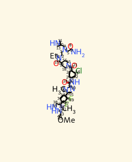 CCN(CCN(CC(N)=O)CC1CNC1)C(=O)C1CCN(C(=O)c2ccc(NC(=O)c3ncc(-c4ccc(/C(C=N)=C(\C)NCCOC)c(F)c4F)n3C)cc2Cl)CC1